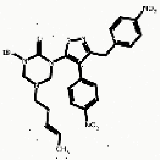 CC=CCCN1CN(c2snc(Cc3ccc([N+](=O)[O-])cc3)c2-c2ccc([N+](=O)[O-])cc2)C(=O)N(C(C)(C)C)C1